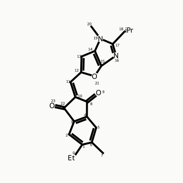 CCc1cc2c(cc1C)C(=O)/C(=C\c1cc3c(nc(C(C)C)n3C)o1)C2=O